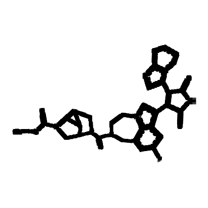 CC(C)(C)OC(=O)N1CC2C3C(CN2C(=O)N2CCn4cc(C5=C(c6cnc7ccccn67)C(=O)NC5=O)c5cc(F)cc(c54)C2)C31